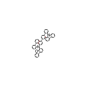 c1ccc(-c2ccccc2N(c2ccc(-c3ccc(-c4ccccc4-n4c5ccccc5c5ccccc54)cc3)cc2)c2cccc3c2oc2ccccc23)cc1